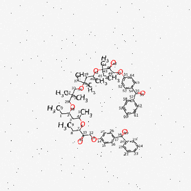 CCC(CC(C)OC(CC)C(=O)COc1ccc(C(=O)c2ccccc2)cc1)OCC(C)(C)COC(C)(CC)CC(C)OC(C)(CC)C(=O)COc1ccc(C(=O)c2ccccc2)cc1